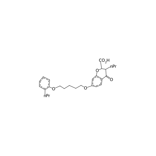 CCCc1ccccc1OCCCCCOc1ccc2c(c1)OC(C(=O)O)C(CCC)C2=O